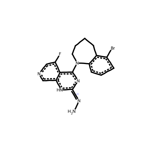 N/N=c1/nc(N2CCCCc3c(Br)cccc32)c2c(F)cncc2[nH]1